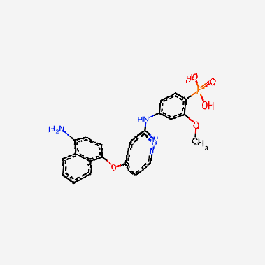 COc1cc(Nc2cc(Oc3ccc(N)c4ccccc34)ccn2)ccc1P(=O)(O)O